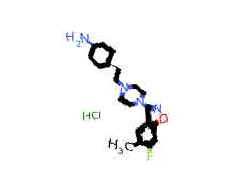 Cc1cc2c(N3CCN(CC[C@H]4CC[C@H](N)CC4)CC3)noc2cc1F.Cl